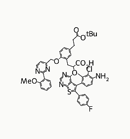 COc1ccccc1-c1nccc(COc2ccc(CCC(=O)OC(C)(C)C)cc2CC(Oc2ncnc3sc(-c4ccc(F)cc4)c(-c4ccc(N)c(Cl)c4C)c23)C(=O)O)n1